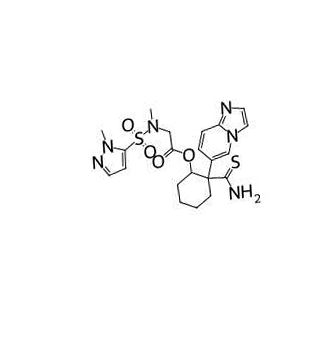 CN(CC(=O)OC1CCCCC1(C(N)=S)c1ccc2nccn2c1)S(=O)(=O)c1ccnn1C